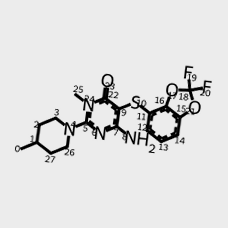 CC1CCN(c2nc(N)c(Sc3cccc4c3OC(F)(F)O4)c(=O)n2C)CC1